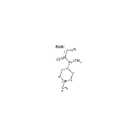 CN[C@@H](C(=O)N(C)C1CCN(C)CC1)C(C)C